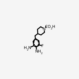 Nc1cc(CC2CCN(C(=O)O)CC2)cc(F)c1N